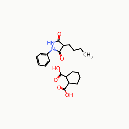 CCCCC1C(=O)NN(c2ccccc2)C1=O.O=C(O)C1CCCCC1C(=O)O